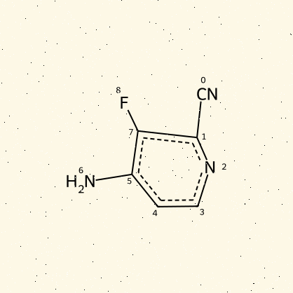 N#Cc1nccc(N)c1F